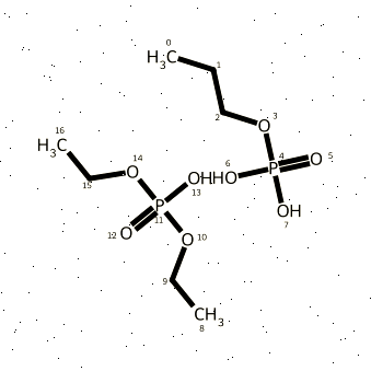 CCCOP(=O)(O)O.CCOP(=O)(O)OCC